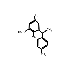 Cc1ccc(C(C)c2cc(C)cc(C(=O)O)c2O)cc1